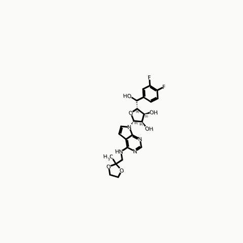 CC1(CNc2ncnc3c2ccn3[C@@H]2O[C@H](C(O)c3ccc(F)c(F)c3)[C@@H](O)[C@H]2O)OCCO1